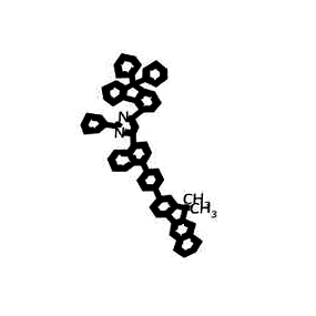 CC1(C)c2cc(-c3ccc(-c4ccc(-c5cc(-c6cccc7c6-c6ccccc6C7(c6ccccc6)c6ccccc6)nc(-c6ccccc6)n5)c5ccccc45)cc3)ccc2-c2cc3ccccc3cc21